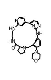 O=C1NCCNc2cc(ccn2)-c2ccnc(n2)Nc2ccc(N3CCOCC3)c(c2)CN2CCCC12